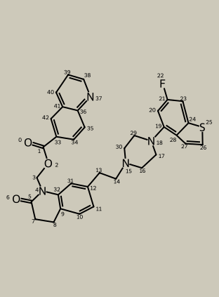 O=C(OCN1C(=O)CCc2ccc(CCN3CCN(c4cc(F)cc5sccc45)CC3)cc21)c1ccc2ncccc2c1